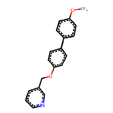 FC(F)(F)Oc1ccc(-c2ccc(OCc3cccnc3)cc2)cc1